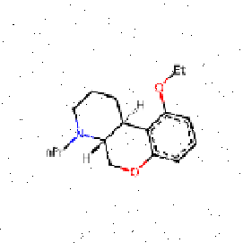 CCCN1CCC[C@H]2c3c(OCC)cccc3OC[C@@H]21